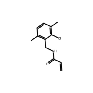 C=CC(=O)NCc1c(C)ccc(C)c1Cl